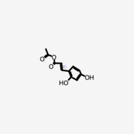 CC(=O)OC(=O)/C=C/c1ccc(O)cc1O